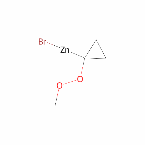 COO[C]1([Zn][Br])CC1